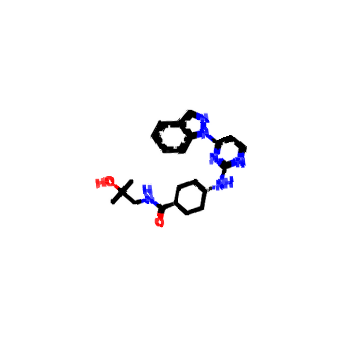 CC(C)(O)CNC(=O)[C@H]1CC[C@H](Nc2nccc(-n3ncc4ccccc43)n2)CC1